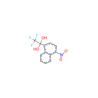 O=[N+]([O-])c1ccc(C(O)(O)C(F)(F)F)c2ccccc12